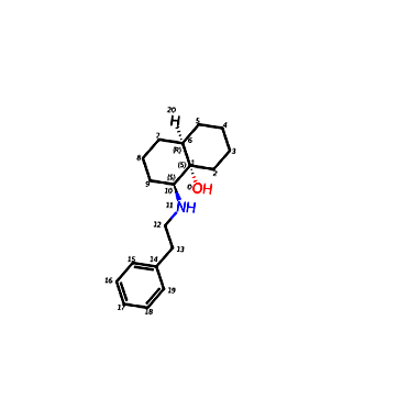 O[C@@]12CCCC[C@@H]1CCC[C@@H]2NCCc1ccccc1